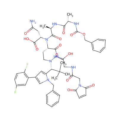 C[C@H](NC(=O)OCc1ccccc1)C(=O)N[C@H](C)C(=O)N([C@@H](CC(N)=O)C(=O)O)[C@@H](CCN(C(=O)CO)[C@@H](c1cc(-c2cc(F)ccc2F)cn1Cc1ccccc1)C(C)(C)C)C(=O)NCCNC(=O)CN1C(=O)C=CC1=O